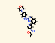 C=CC(=O)Nc1ccnc(-c2cccc3cnc(Nc4ccc(N5CCOCC5)cc4)nc23)c1